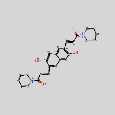 O=C(/C=C/c1cc2cc(O)c(/C=C/C(=O)N3CCCCC3)cc2cc1O)N1CCCCC1